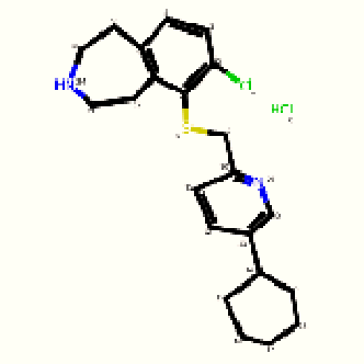 Cl.Clc1ccc2c(c1SCc1ccc(C3CCCCC3)cn1)CCNCC2